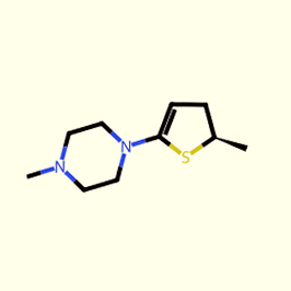 C[C@@H]1CC=C(N2CCN(C)CC2)S1